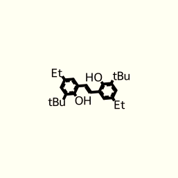 CCc1cc(C=Cc2cc(CC)cc(C(C)(C)C)c2O)c(O)c(C(C)(C)C)c1